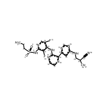 CCCS(=O)(=O)Nc1ncc(F)c(Nc2nccnc2-c2cc(NCC(C)C#N)ncn2)c1F